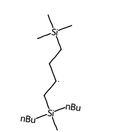 CCCC[Si](C)(C[CH]CC[Si](C)(C)C)CCCC